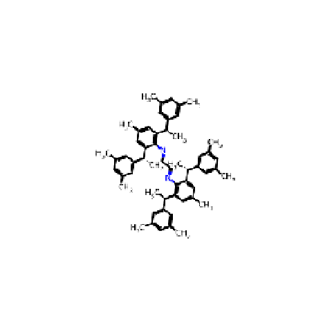 Cc1cc(C)cc([C@@H](C)c2cc(C)cc([C@H](C)c3cc(C)cc(C)c3)c2/N=C/C=N/c2c([C@H](C)c3cc(C)cc(C)c3)cc(C)cc2[C@H](C)c2cc(C)cc(C)c2)c1